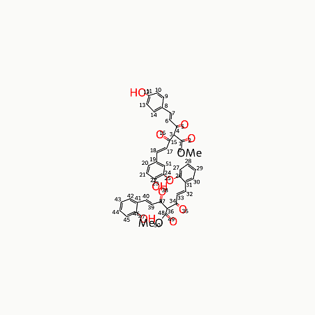 COC(=O)C(C(=O)/C=C/c1ccc(O)cc1)C(=O)/C=C/c1ccc(O)c(Oc2ccccc2/C=C/C(=O)C(C(=O)/C=C/c2ccccc2O)C(=O)OC)c1